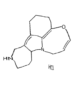 C1=COC2=C3C(=C4CNCCC4N3C1)CCC2.Cl